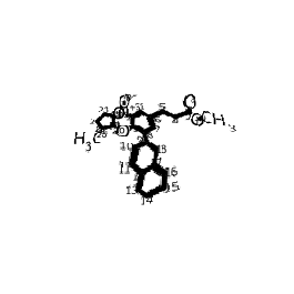 COC(=O)CCc1cc(-c2ccc3ccccc3c2)c(O[C@@H]2CCC[C@@H]2C)c([N+](=O)[O-])c1